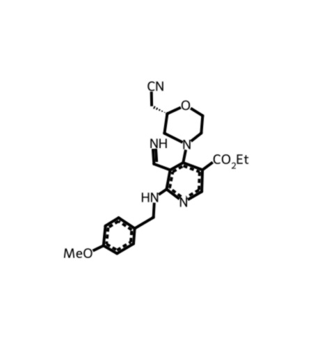 CCOC(=O)c1cnc(NCc2ccc(OC)cc2)c(C=N)c1N1CCO[C@@H](CC#N)C1